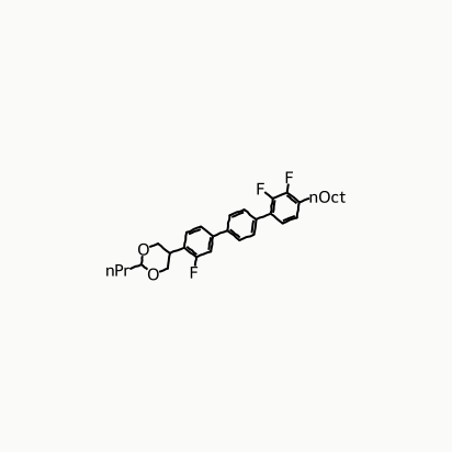 CCCCCCCCc1ccc(-c2ccc(-c3ccc(C4COC(CCC)OC4)c(F)c3)cc2)c(F)c1F